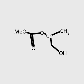 COC(=O)[O][Cr]([CH3])[CH2]O